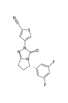 N#Cc1cc(-n2nc3n(c2=O)[C@H](c2cc(F)cc(F)c2)CC3)cs1